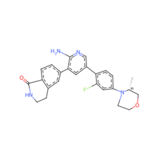 C[C@@H]1COCCN1c1ccc(-c2cnc(N)c(-c3ccc4c(c3)CCNC4=O)c2)c(F)c1